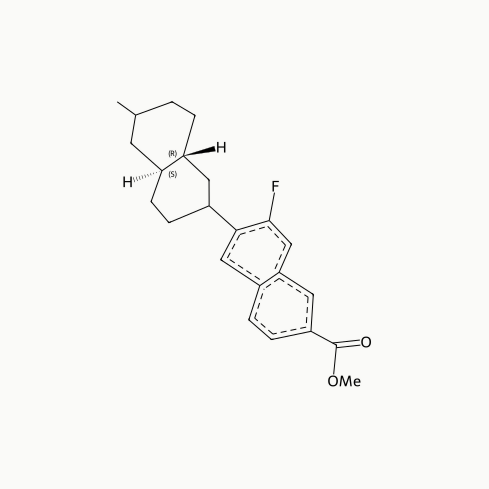 COC(=O)c1ccc2cc(C3CC[C@H]4CC(C)CC[C@@H]4C3)c(F)cc2c1